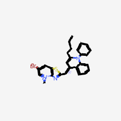 CCCCC1=C/C(=C\c2nc3c(cc(Br)c[n+]3C)s2)c2ccccc2N1c1ccccc1